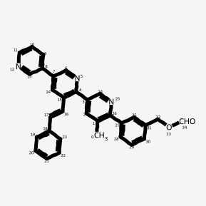 Cc1cc(-c2ncc(-c3cccnc3)cc2/C=C/c2ccccc2)cnc1-c1cccc(COC=O)c1